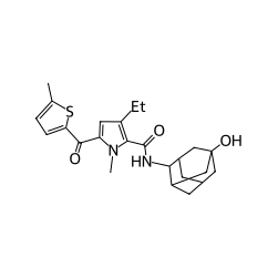 CCc1cc(C(=O)c2ccc(C)s2)n(C)c1C(=O)NC1C2CC3CC1CC(O)(C3)C2